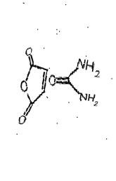 NC(N)=O.O=C1C=CC(=O)O1